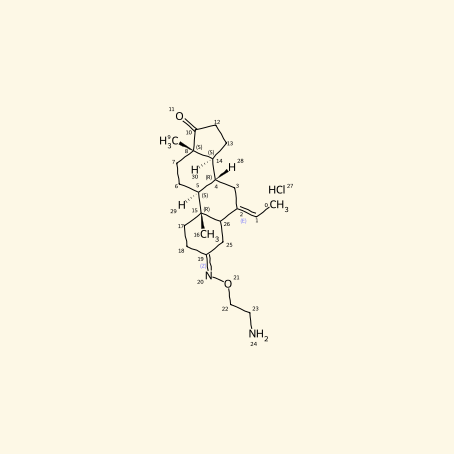 C/C=C1\C[C@@H]2[C@H](CC[C@]3(C)C(=O)CC[C@@H]23)[C@@]2(C)CC/C(=N/OCCN)CC12.Cl